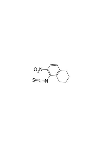 O=[N+]([O-])c1ccc2c(c1N=C=S)CCCC2